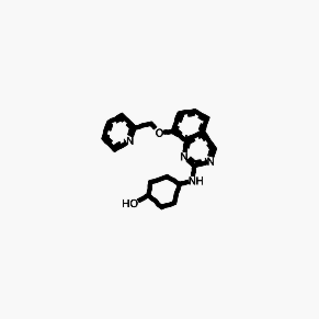 OC1CCC(Nc2ncc3cccc(OCc4ccccn4)c3n2)CC1